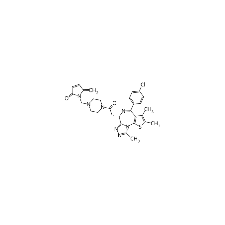 C=C1C=CC(=O)N1CN1CCN(C(=O)C[C@@H]2N=C(c3ccc(Cl)cc3)c3c(sc(C)c3C)-n3c(C)nnc32)CC1